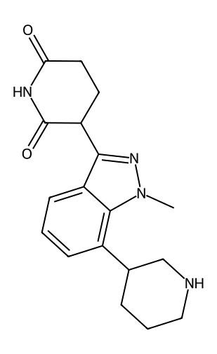 Cn1nc(C2CCC(=O)NC2=O)c2cccc(C3CCCNC3)c21